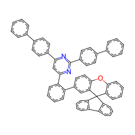 c1ccc(-c2ccc(-c3cc(-c4ccccc4-c4ccc5c(c4)C4(c6ccccc6O5)c5ccccc5-c5ccccc54)nc(-c4ccc(-c5ccccc5)cc4)n3)cc2)cc1